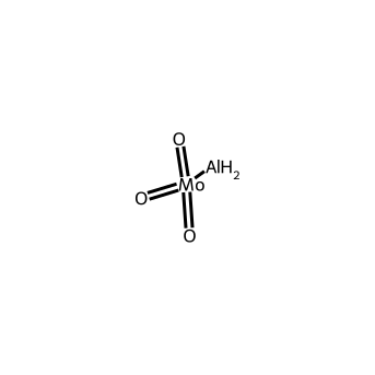 [O]=[Mo](=[O])(=[O])[AlH2]